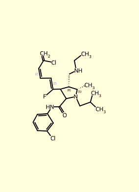 C=C(Cl)/C=C\C=C(/F)C1C(C(=O)Nc2cccc(Cl)c2)N(CC(C)C)[C@@H](C)[C@H]1CNCC